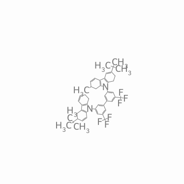 CC1C=Cc2c3c(n(-c4cc(-c5cc(-n6c7c(c8c6CCC=C8)CC(C(C)(C)C)C=C7)cc(C(F)(F)F)c5)cc(C(F)(F)F)c4)c2C1)CCC(C(C)(C)C)=C3